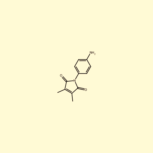 CC1=C(C)C(=O)N(c2ccc(N)cc2)C1=O